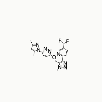 Cc1cc(C)n(-c2ccc(OCc3c(-c4ccc(C(F)F)cn4)nnn3C)nn2)n1